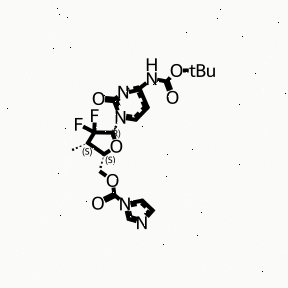 C[C@H]1[C@@H](COC(=O)n2ccnc2)O[C@@H](n2ccc(NC(=O)OC(C)(C)C)nc2=O)C1(F)F